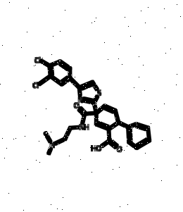 CN(C)CCNC(=O)C1(c2nc(-c3ccc(Cl)c(Cl)c3)cs2)C=CC(c2ccccc2)C(C(=O)O)=C1